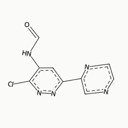 O=CNc1cc(-c2cnccn2)nnc1Cl